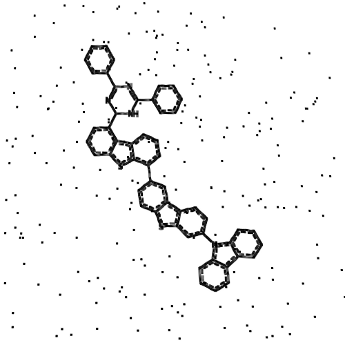 c1ccc(C2=NC(c3cccc4sc5c(-c6ccc7sc8cc(-n9c%10ccccc%10c%10ccccc%109)ccc8c7c6)cccc5c34)NC(c3ccccc3)=N2)cc1